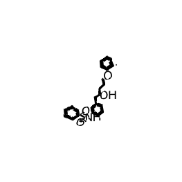 O=S(=O)(Nc1cccc(CC(O)CCCOc2[c]cccc2)c1)c1ccccc1